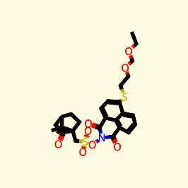 CCOCOCCSc1ccc2c3c(cccc13)C(=O)N(OS(=O)(=O)CC13CCC(CC1=O)C3(C)C)C2=O